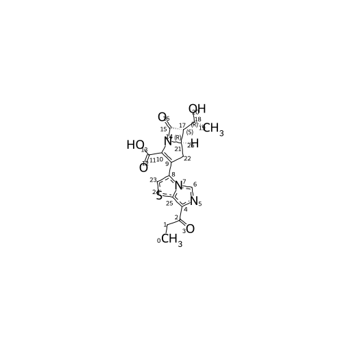 CCC(=O)c1ncn2c(C3=C(C(=O)O)N4C(=O)[C@H]([C@@H](C)O)[C@H]4C3)csc12